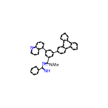 CN/C(=N\C(=N)c1ccccc1)c1cc(-c2ccc3c4ccccc4c4ccccc4c3c2)cc(-c2cccc3ncccc23)c1